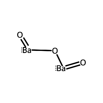 [O]=[Ba][O][Ba]=[O]